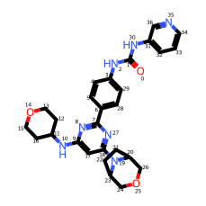 O=C(Nc1ccc(-c2nc(NC3CCOCC3)cc(N3C4CCC3COC4)n2)cc1)Nc1cccnc1